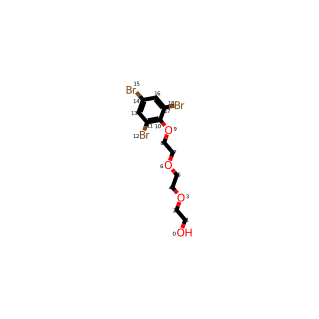 OCCOCCOCCOc1c(Br)cc(Br)cc1Br